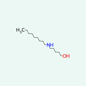 CCCCCCCCCNCCCCCO